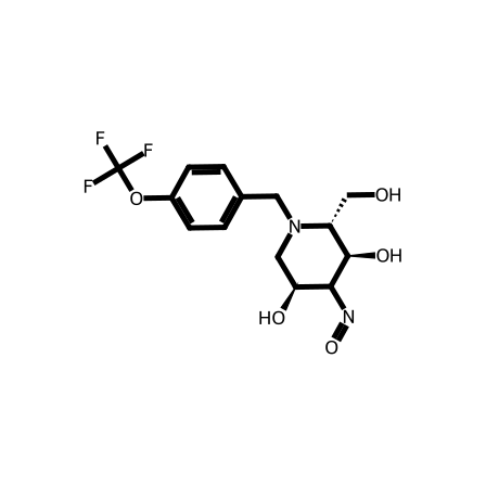 O=NC1[C@@H](O)CN(Cc2ccc(OC(F)(F)F)cc2)[C@H](CO)[C@H]1O